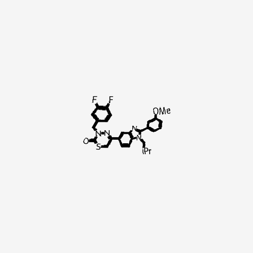 COc1cccc(-c2nc3cc(C4=NN(Cc5ccc(F)c(F)c5)C(=O)SC4)ccc3n2CC(C)C)c1